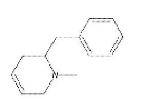 CN1CC=CCC1Cc1ccccc1